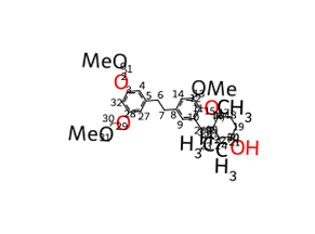 COCOc1cc(CCc2cc3c(c(OC)c2)O[C@]2(C)CC[C@@H](O)C(C)(C)[C@H]2C3)cc(OCOC)c1